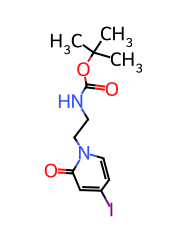 CC(C)(C)OC(=O)NCCn1ccc(I)cc1=O